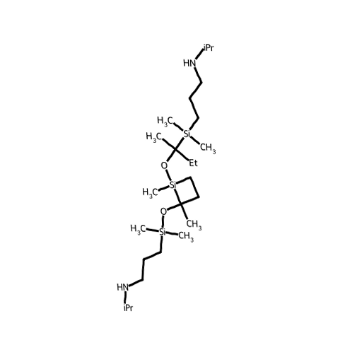 CCC(C)(O[Si]1(C)CCC1(C)O[Si](C)(C)CCCNC(C)C)[Si](C)(C)CCCNC(C)C